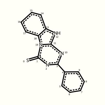 S=c1nc(-c2ccccc2)nc2[nH]c3ccccc3n12